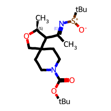 C/C(=N\[S+]([O-])C(C)(C)C)C1[C@H](C)OCC12CCN(C(=O)OC(C)(C)C)CC2